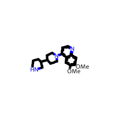 COc1cc2nccc(N3CCC(C4CCCNC4)CC3)c2cc1OC